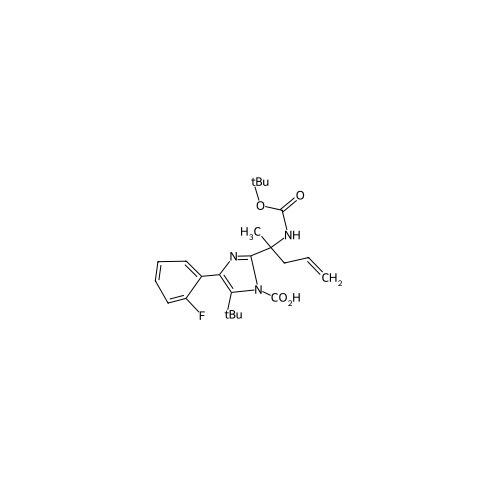 C=CCC(C)(NC(=O)OC(C)(C)C)c1nc(-c2ccccc2F)c(C(C)(C)C)n1C(=O)O